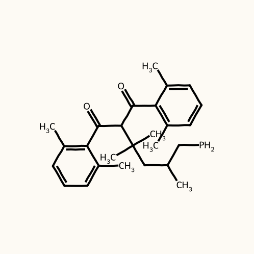 Cc1cccc(C)c1C(=O)C(C(=O)c1c(C)cccc1C)C(C)(C)CC(C)CP